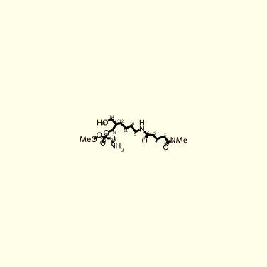 CNC(=O)CCCC(=O)NCCCCC(CO)COP(=O)(ON)OOC